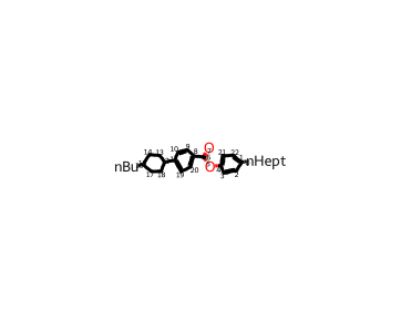 CCCCCCCc1ccc(OC(=O)c2ccc(C3CCC(CCCC)CC3)cc2)cc1